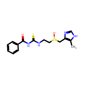 Cc1[nH]cnc1C[S+]([O-])CCNC(=S)NC(=O)c1ccccc1